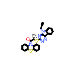 C#CCn1c2ccccc2c2nnc(SC(CC)C(=O)N3c4ccccc4Sc4ccccc43)nc21